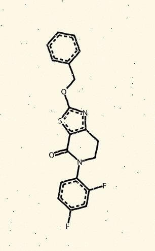 O=C1c2sc(OCc3ccccc3)nc2CCN1c1ccc(F)cc1F